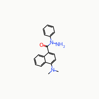 CN(C)c1ccc(C(=O)N(N)c2ccccc2)c2ccccc12